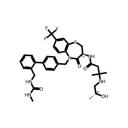 CNC(=O)NCc1ccccc1-c1ccc(CN2C(=O)[C@H](NC(=O)CC(C)(C)NC[C@@H](C)O)CSc3cc(C(F)(F)F)ccc32)cc1